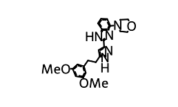 COc1cc(CCc2cc(-c3nc4c(N5CCOCC5)cccc4[nH]3)n[nH]2)cc(OC)c1